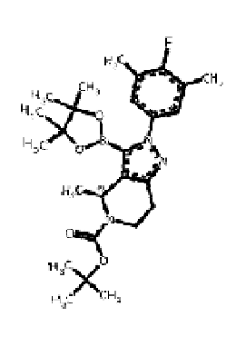 Cc1cc(-n2nc3c(c2B2OC(C)(C)C(C)(C)O2)[C@H](C)N(C(=O)OC(C)(C)C)CC3)cc(C)c1F